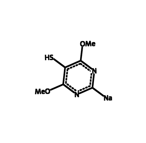 COc1n[c]([Na])nc(OC)c1S